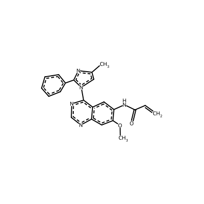 C=CC(=O)Nc1cc2c(-n3cc(C)nc3-c3ccccc3)ncnc2cc1OC